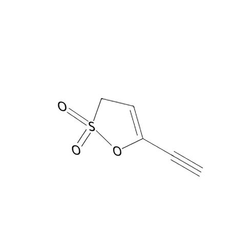 C#CC1=CCS(=O)(=O)O1